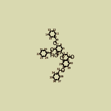 O=c1cc(-c2ccc(OCc3ccccc3)c(OCc3ccccc3)c2O)oc2cc(OCc3ccccc3)ccc12